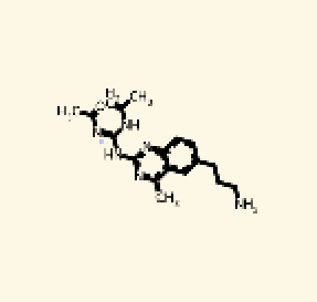 C=C(C)N/C(=N\C(C)=O)Nc1nc(C)c2cc(CCCN)ccc2n1